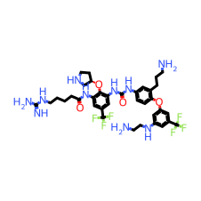 N=C(N)NCCCCC(=O)Nc1cc(C(F)(F)F)cc(NC(=O)Nc2ccc(Oc3cc(NCCN)cc(C(F)(F)F)c3)c(CCCN)c2)c1O[C@@H]1CCNC1